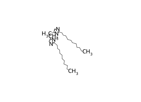 CCCCCCCCCCCc1ncc(C)n1Cn1c(C)cnc1CCCCCCCCCCC